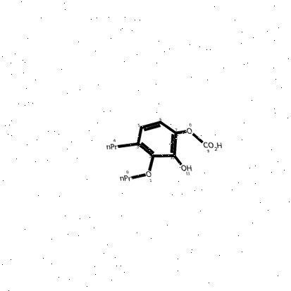 CCCOc1c(CCC)ccc(OC(=O)O)c1O